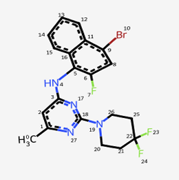 Cc1cc(Nc2c(F)cc(Br)c3ccccc23)nc(N2CCC(F)(F)CC2)n1